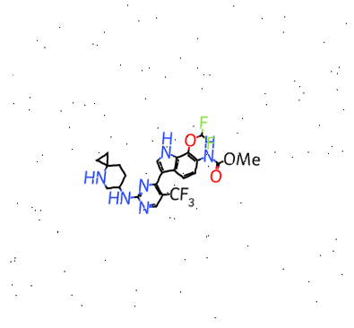 COC(=O)Nc1ccc2c(-c3nc(NC4CCC5(CC5)NC4)ncc3C(F)(F)F)c[nH]c2c1OC(F)F